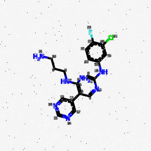 C=C(/N=C\C(=C(/N)NCCCN)c1cncnc1)Nc1ccc(F)c(Cl)c1